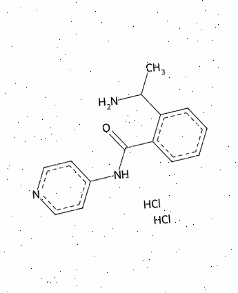 CC(N)c1ccccc1C(=O)Nc1ccncc1.Cl.Cl